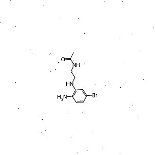 CC(=O)NCCNc1cc(Br)ccc1N